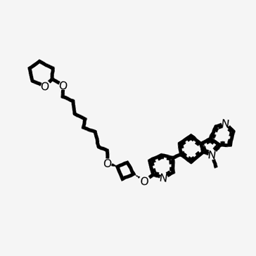 Cn1c2ccncc2c2ccc(-c3ccc(O[C@H]4C[C@H](OCCCCCCCCOC5CCCCO5)C4)nc3)cc21